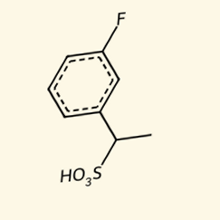 CC(c1cccc(F)c1)S(=O)(=O)O